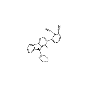 C#Cc1c(C#N)cccc1-c1ccc2c3ccccc3n(-c3ccccc3)c2c1C